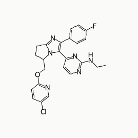 CCNc1nccc(-c2c(-c3ccc(F)cc3)nc3n2C(COc2ccc(Cl)cn2)CC3)n1